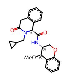 CO[C@@H]1c2ccccc2OC[C@H]1NC(=O)[C@@H]1c2ccccc2CC(=O)N1CC1CC1